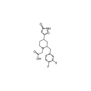 O=C(O)CN1CCC(c2cc(=O)[nH]o2)CC1Cc1ccc(F)c(F)c1